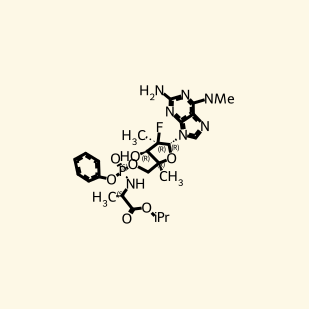 CNc1nc(N)nc2c1ncn2[C@@H]1O[C@](C)(CO[P@@](=O)(N[C@@H](C)C(=O)OC(C)C)Oc2ccccc2)[C@@H](O)[C@@]1(C)F